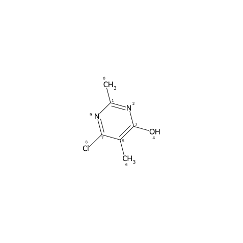 Cc1nc(O)c(C)c(Cl)n1